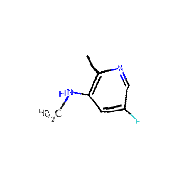 Cc1ncc(F)cc1NC(=O)O